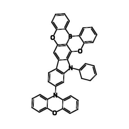 C1=CCCC(n2c3cc(N4c5ccccc5Oc5ccccc54)ccc3c3cc4c5c(c32)Oc2ccccc2B5c2ccccc2O4)=C1